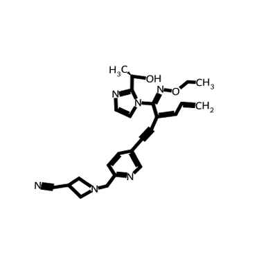 C=C/C=C(C#Cc1ccc(CN2CC(C#N)C2)nc1)\C(=N/OCC)n1ccnc1[C@H](C)O